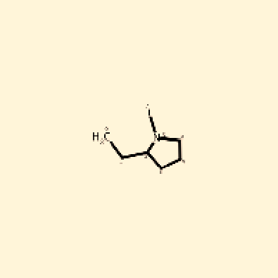 CCC1CCCN1I